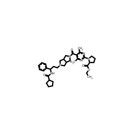 CCOC(=O)C1CCCN1c1nc(C)c(C(=O)N2CC3CN(CCC(NC(=O)C4CCCC4)c4ccccc4)CC3C2)c(C)n1